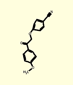 COc1ccc(C(=O)COc2ccc(C#N)cc2)cc1